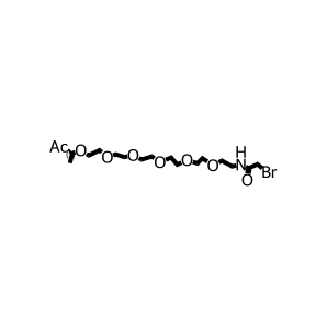 CC(=O)[C@H](C)OCCOCCOCCOCCOCCOCCNC(=O)CBr